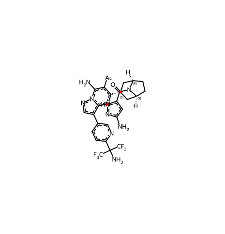 CC(=O)c1c([C@@H]2C[C@H]3CC[C@@H](C2)N3C(=O)c2cc(N)n[nH]2)nc2c(-c3ccc(C(N)(C(F)(F)F)C(F)(F)F)nc3)cnn2c1N